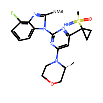 CNc1nc2c(F)cccc2n1-c1nc(N2CCOC[C@H]2C)cc(C2([S@](C)(=N)=O)CC2)n1